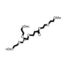 CCCCCCCCCCCCOC[C@H](COCCC(=O)OCCOCCOC)OCCCCCCCCCCCC